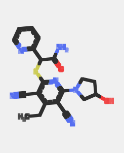 CCc1c(C#N)c(SC(C(N)=O)c2ccccn2)nc(N2CCC(O)C2)c1C#N